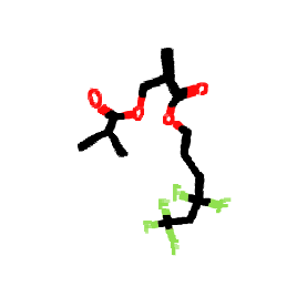 C=C(COC(=O)C(C)C)C(=O)OCCCC(F)(F)CC(F)(F)F